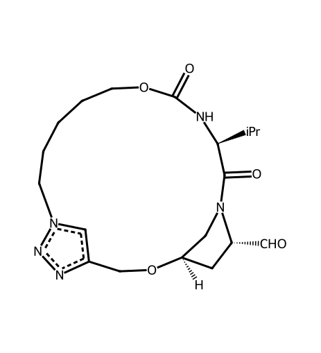 CC(C)[C@@H]1NC(=O)OCCCCCn2cc(nn2)CO[C@@H]2C[C@@H](C=O)N(C2)C1=O